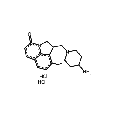 Cl.Cl.NC1CCN(CC2Cn3c(=O)ccc4ccc(F)c2c43)CC1